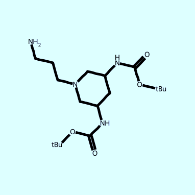 CC(C)(C)OC(=O)NC1CC(NC(=O)OC(C)(C)C)CN(CCCN)C1